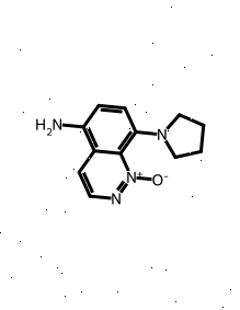 Nc1ccc(N2CCCC2)c2c1ccn[n+]2[O-]